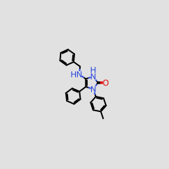 Cc1ccc(-n2c(-c3ccccc3)c(NCc3ccccc3)[nH]c2=O)cc1